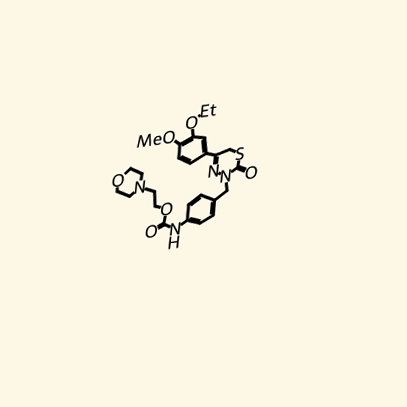 CCOc1cc(C2=NN(Cc3ccc(NC(=O)OCCN4CCOCC4)cc3)C(=O)SC2)ccc1OC